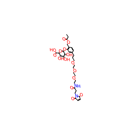 CCC(=O)OCc1ccc(CCCOCCOCCOCCNC(=O)CCN2C(=O)C=CC2=O)cc1O[C@@H]1O[C@H](C(=O)O)[C@@H](O)[C@H](O)[C@H]1O